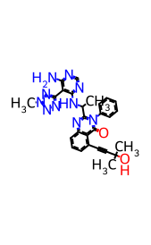 CC(Nc1ncnc(N)c1-c1nnn(C)n1)c1nc2cccc(C#CC(C)(C)O)c2c(=O)n1-c1ccccc1